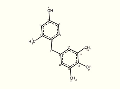 Cc1cc(O)ccc1Cc1cc(C)c(O)c(C)c1